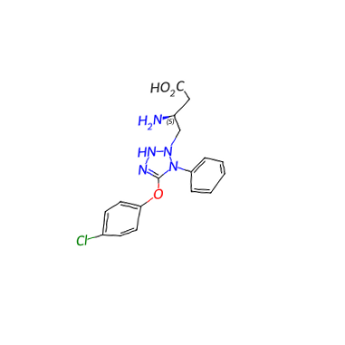 N[C@@H](CC(=O)O)CN1NN=C(Oc2ccc(Cl)cc2)N1c1ccccc1